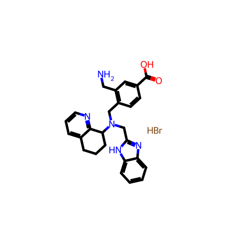 Br.NCc1cc(C(=O)O)ccc1CN(Cc1nc2ccccc2[nH]1)C1CCCc2cccnc21